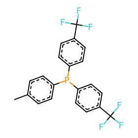 Cc1ccc(P(c2ccc(C(F)(F)F)cc2)c2ccc(C(F)(F)F)cc2)cc1